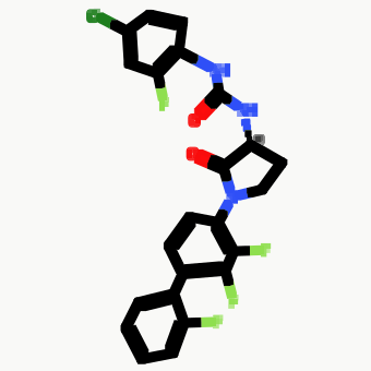 O=C(Nc1ccc(Cl)cc1F)N[C@@H]1CCN(c2ccc(-c3ccccc3F)c(F)c2F)C1=O